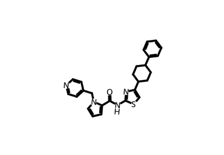 O=C(Nc1nc(C2CCC(c3ccccc3)CC2)cs1)c1cccn1Cc1ccncc1